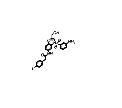 Nc1cccc(S(=O)(=O)N2C[C@@H](CO)Oc3ccc(NC(=O)Cc4ccc(F)cc4)cc32)c1